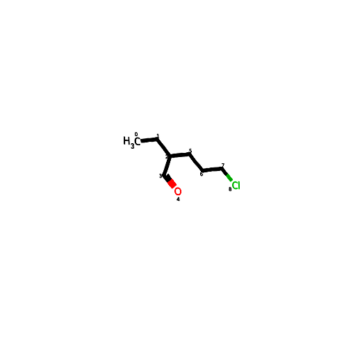 CCC(C=O)CCCCl